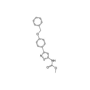 COC(=O)Nc1cc(-c2ccc(OCc3ccccc3)cc2)ns1